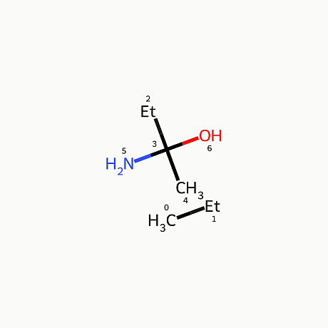 CCC.CCC(C)(N)O